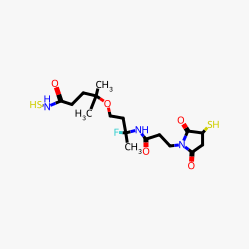 CC(F)(CCOC(C)(C)CCC(=O)NS)NC(=O)CCN1C(=O)CC(S)C1=O